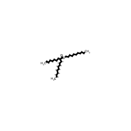 CCCCCCCCCCCOC(=O)C(CCCCCCCC)CCCCCCCCCC